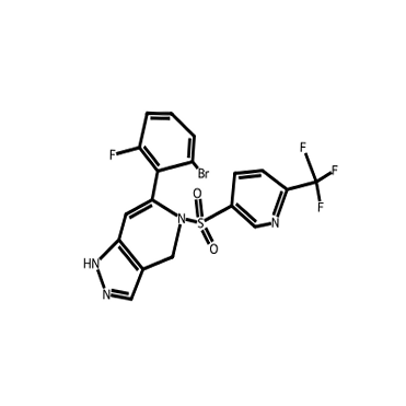 O=S(=O)(c1ccc(C(F)(F)F)nc1)N1Cc2cn[nH]c2C=C1c1c(F)cccc1Br